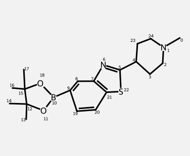 CN1CCC(c2nc3cc(B4OC(C)(C)C(C)(C)O4)ccc3s2)CC1